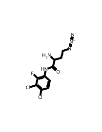 [N-]=[N+]=NCCC(N)C(=O)Nc1ccc(Cl)c(Cl)c1F